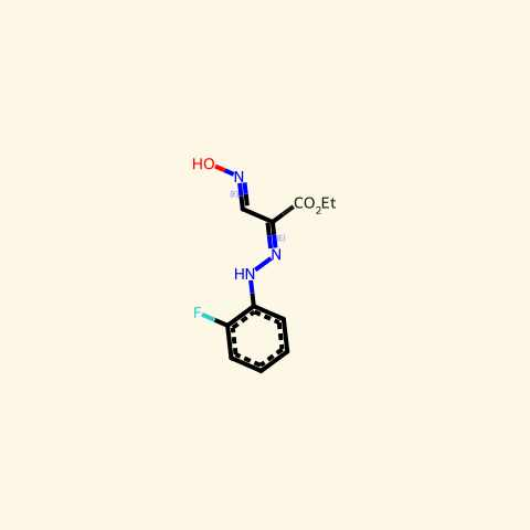 CCOC(=O)C(/C=N/O)=N/Nc1ccccc1F